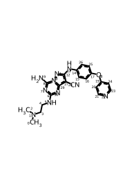 CN(C)CCNc1nc(N)n2nc(Nc3ccc(Oc4ccncc4)cc3)c(C#N)c2n1